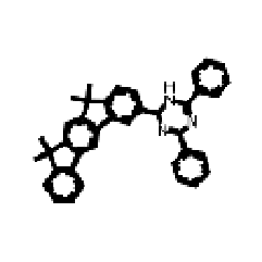 CC1(C)c2ccccc2-c2cc3c(cc21)C(C)(C)c1ccc(C2N=C(c4ccccc4)N=C(c4ccccc4)N2)cc1-3